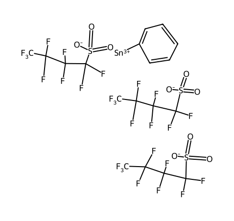 O=S(=O)([O-])C(F)(F)C(F)(F)C(F)(F)C(F)(F)F.O=S(=O)([O-])C(F)(F)C(F)(F)C(F)(F)C(F)(F)F.O=S(=O)([O-])C(F)(F)C(F)(F)C(F)(F)C(F)(F)F.[Sn+3][c]1ccccc1